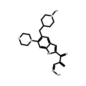 C=C(/C=N\CCC)C(=O)c1cc2cc(CC3CCN(C(C)C)CC3)c(N3CCOCC3)cc2[nH]1